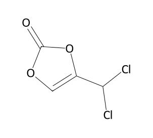 O=c1occ(C(Cl)Cl)o1